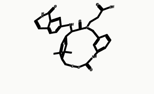 Cc1cc2cc(C)c1CCOC(=O)Nc1cccc(c1)CN(CCC(=O)O)C(=O)C2Nc1ccc2cc[nH]c(=O)c2c1